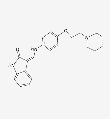 O=C1Nc2ccccc2C1=CNc1ccc(OCCN2CCCCC2)cc1